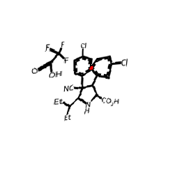 CCC(CC)C1NC(C(=O)O)C(c2cccc(Cl)c2)C1(C#N)c1ccc(Cl)cc1.O=C(O)C(F)(F)F